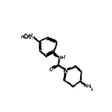 CCCCCCCCCCc1ccc(NC(=O)N2CCC(N)CC2)cc1